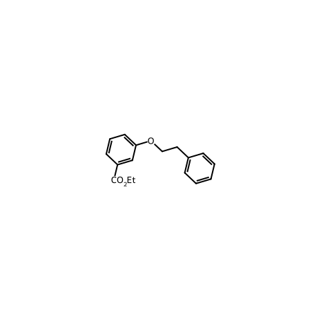 CCOC(=O)c1cccc(OCCc2ccccc2)c1